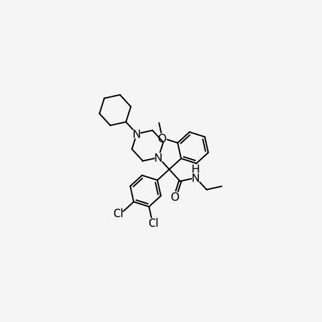 CCNC(=O)C(c1ccc(Cl)c(Cl)c1)(c1ccccc1OC)N1CCN(C2CCCCC2)CC1